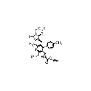 Cc1ccc(-c2c(C=C3SC(=S)N(CC(=O)O)C3=O)c(C)nc(CC(C)C)c2CNC(=O)OC(C)(C)C)cc1